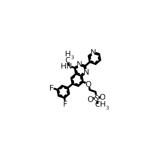 CNc1nc(-c2cccnc2)nc2c(OCCS(C)(=O)=O)cc(-c3cc(F)cc(F)c3)cc12